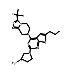 CCCc1cc2c(N3CCn4c(nnc4C(F)(F)F)C3)nc(N3CC[C@@H](N)C3)nc2s1